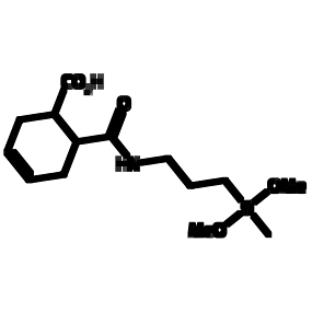 CO[Si](C)(CCCNC(=O)C1CC=CCC1C(=O)O)OC